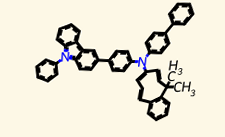 CC1(C)/C=C/C(N(c2ccc(-c3ccccc3)cc2)c2ccc(-c3ccc4c(c3)c3ccccc3n4-c3ccccc3)cc2)=C\C=C\c2ccccc21